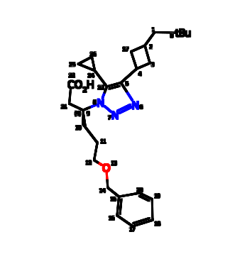 CC(C)(C)CC1CC(c2nnn([C@@H](CCCOCc3ccccc3)CC(=O)O)c2C2CC2)C1